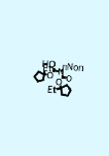 CCCCCCCCCN(C(=O)OC1(CC)CCCC1)C(O)OC1(CC)CCCC1